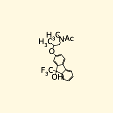 CC(=O)N(C)CC(C)Oc1ccc2c(c1)C(O)(C(F)(F)F)c1ccccc1-2